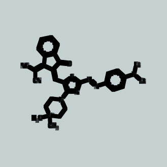 CCN(CC)c1ccc(/N=N/c2nc(N3CC[N+](C)(C)CC3)c(/C=C3\C(=O)c4ccccc4C3=C(C#N)C#N)s2)cc1